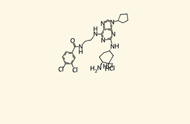 Cl.Cl.N[C@H]1CC[C@H](Nc2nc(NCCNC(=O)c3ccc(Cl)c(Cl)c3)c3ncn(C4CCCC4)c3n2)CC1